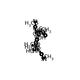 Cc1ncsc1-c1ccc(CNC(=O)[C@@H]2[C@@H](Oc3ccc4c(c3)CN([C@H](C(=O)N3C[C@H](O)C[C@H]3C(=O)NCc3ccc(-c5scnc5C)cc3)C(C)C)C4=O)[C@@H](O)CN2C(=O)[C@H](C(C)C)N2Cc3ccccc3C2=O)cc1